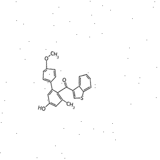 COc1ccc(-c2cc(O)cc(C)c2C(=O)c2csc3ccccc23)cc1